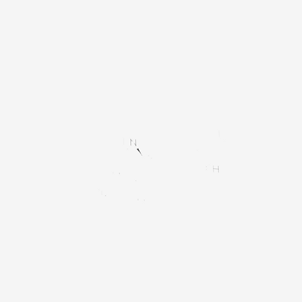 C=C(C)CC[C@H](N)C(=O)OC(C)(C)C